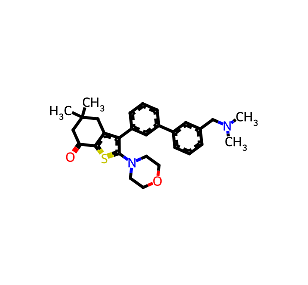 CN(C)Cc1cccc(-c2cccc(-c3c(N4CCOCC4)sc4c3CC(C)(C)CC4=O)c2)c1